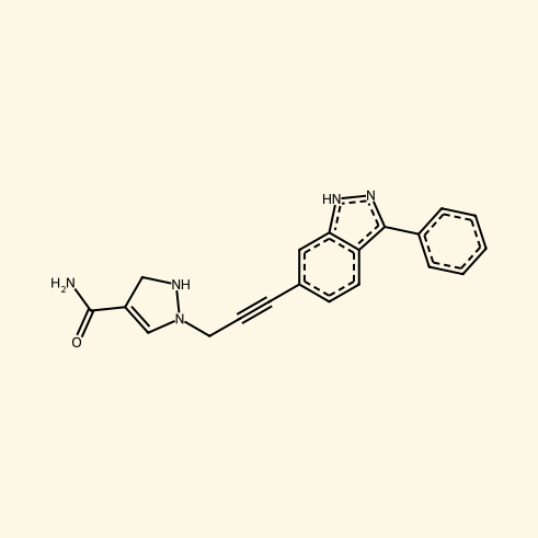 NC(=O)C1=CN(CC#Cc2ccc3c(-c4ccccc4)n[nH]c3c2)NC1